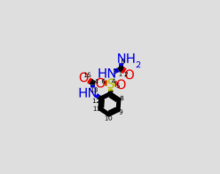 NC(=O)NS(=O)(=O)c1ccccc1NC=O